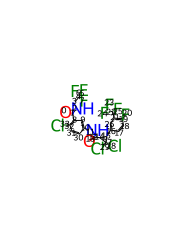 O=C(NCC(F)(F)F)c1cc(NC(=O)C2C(c3ccc(F)c(C(F)(F)F)c3)C2(Cl)Cl)ccc1Cl